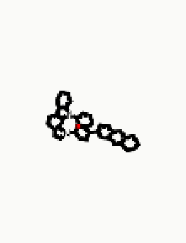 c1ccc(-n2c3ccccc3c3ccc4ccn(-c5ccc(-c6ccc7cc8ccccc8cc7c6)cc5)c4c32)cc1